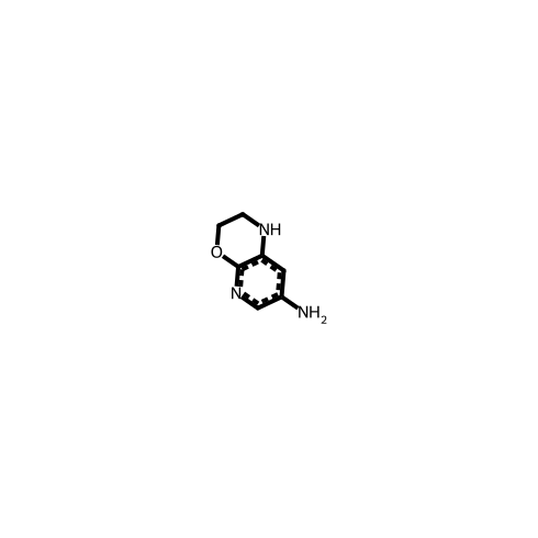 Nc1cnc2c(c1)NCCO2